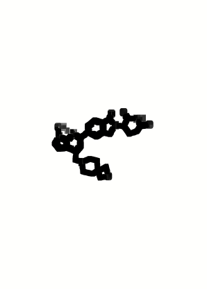 Cn1ccc2c(CN3CCC4(CC3)COC4)cc(-c3ccc4c(c3)CN(C3CCC(=O)NC3=O)C4=O)nc21